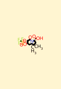 CC1(C)C[C@@H](C(=O)O)N2C(=O)C=C(OS(=O)(=O)C(F)(F)F)CC21